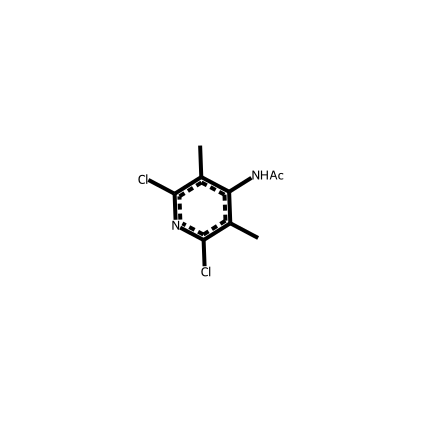 CC(=O)Nc1c(C)c(Cl)nc(Cl)c1C